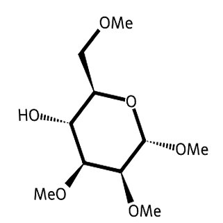 COC[C@H]1O[C@H](OC)[C@@H](OC)[C@@H](OC)[C@@H]1O